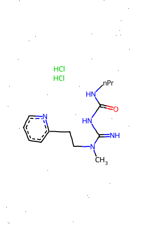 CCCNC(=O)NC(=N)N(C)CCc1ccccn1.Cl.Cl